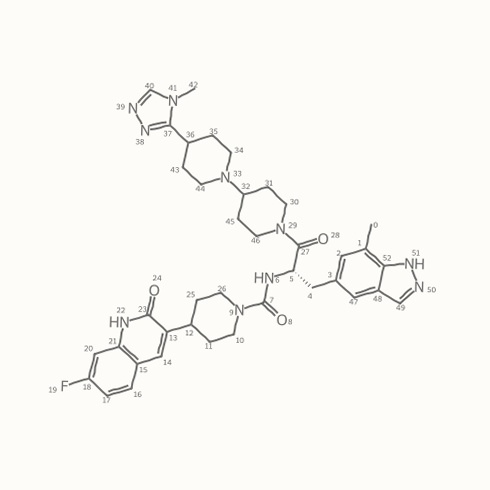 Cc1cc(C[C@H](NC(=O)N2CCC(c3cc4ccc(F)cc4[nH]c3=O)CC2)C(=O)N2CCC(N3CCC(c4nncn4C)CC3)CC2)cc2cn[nH]c12